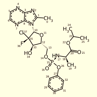 Cc1nc2nccnc2n1[C@@H]1O[C@H](CO[P@](=O)(N[C@H](C)C(=O)OC(C)C)Oc2ccccc2)[C@@H](O)[C@]1(F)Cl